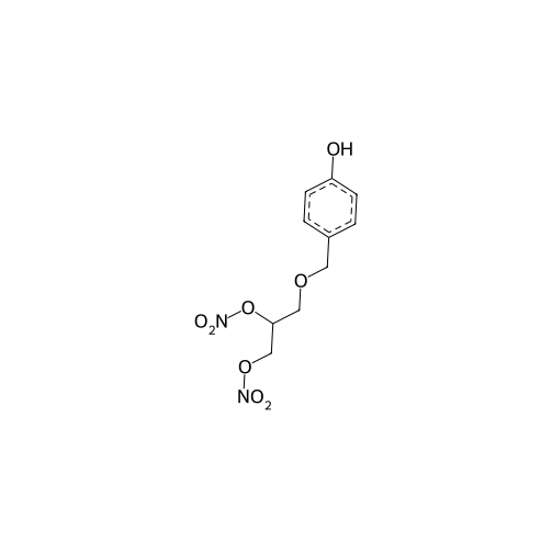 O=[N+]([O-])OCC(COCc1ccc(O)cc1)O[N+](=O)[O-]